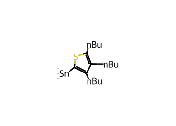 CCCCc1s[c]([Sn])c(CCCC)c1CCCC